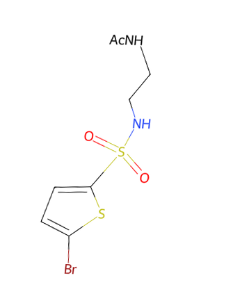 CC(=O)NCCNS(=O)(=O)c1ccc(Br)s1